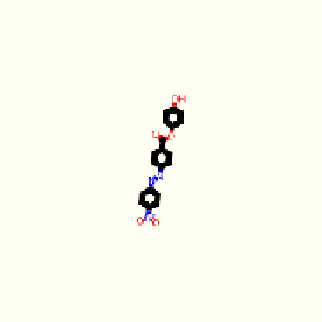 O=C(Oc1ccc(O)cc1)c1ccc(N=Nc2ccc([N+](=O)[O-])cc2)cc1